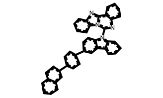 c1ccc2cc(-c3ccc(-c4ccc5c(c4)c4ccccc4n5-c4nc5ccccc5c5nc6ccccc6n45)cc3)ccc2c1